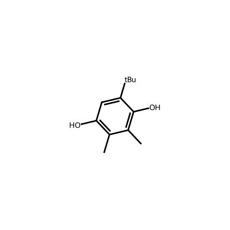 Cc1c(O)cc(C(C)(C)C)c(O)c1C